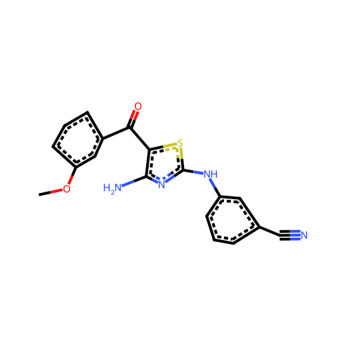 COc1cccc(C(=O)c2sc(Nc3cccc(C#N)c3)nc2N)c1